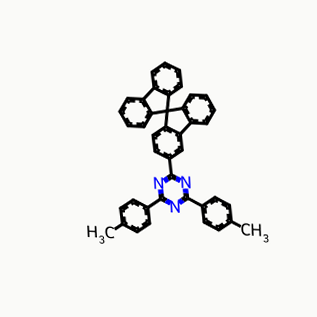 Cc1ccc(-c2nc(-c3ccc(C)cc3)nc(-c3ccc4c(c3)-c3ccccc3C43c4ccccc4-c4ccccc43)n2)cc1